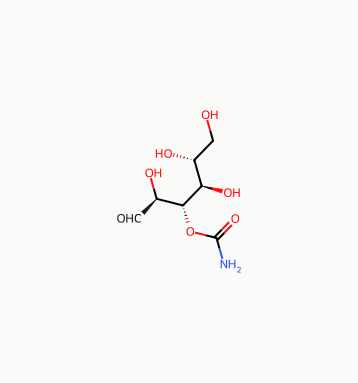 NC(=O)O[C@@H]([C@H](O)[C@H](O)CO)[C@H](O)C=O